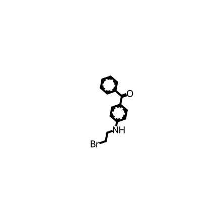 O=C(c1ccccc1)c1ccc(NCCBr)cc1